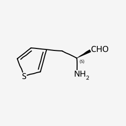 N[C@H](C=O)Cc1ccsc1